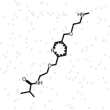 CNCCOCc1ccc(COCCNC(=O)C(C)C)nc1